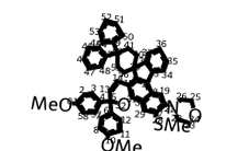 COc1ccc(C2(c3ccc(OC)cc3)C=Cc3c4c(c5cc(N6CCOCC6)c(SC)cc5c3O2)-c2ccccc2C42CCC(c3ccccc3)(c3ccccc3)CC2)cc1